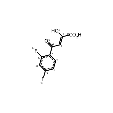 O=C(O)C(O)=CC(=O)c1ccc(F)cc1F